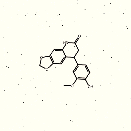 COc1cc(C2CC(=O)Nc3cc4c(cc32)OCO4)ccc1O